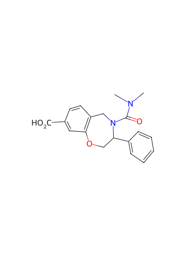 CN(C)C(=O)N1Cc2ccc(C(=O)O)cc2OCC1c1ccccc1